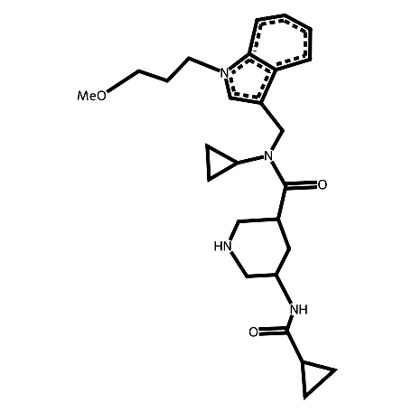 COCCCn1cc(CN(C(=O)C2CNCC(NC(=O)C3CC3)C2)C2CC2)c2ccccc21